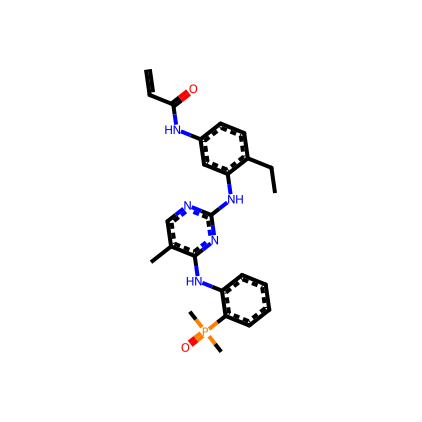 C=CC(=O)Nc1ccc(CC)c(Nc2ncc(C)c(Nc3ccccc3P(C)(C)=O)n2)c1